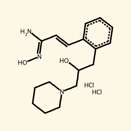 Cl.Cl.NC(C=Cc1ccccc1CC(O)CN1CCCCC1)=NO